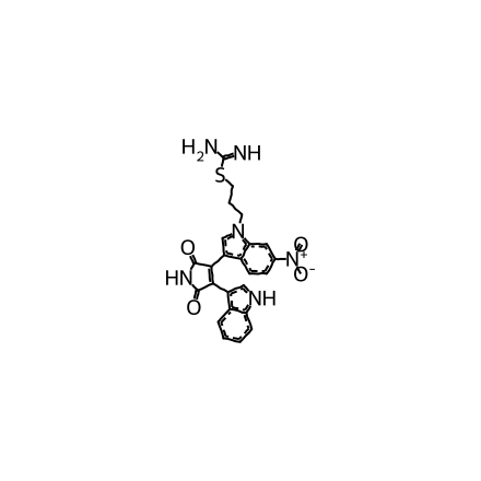 N=C(N)SCCCn1cc(C2=C(c3c[nH]c4ccccc34)C(=O)NC2=O)c2ccc([N+](=O)[O-])cc21